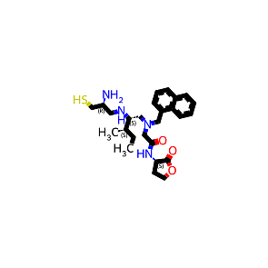 CC[C@H](C)[C@@H](CN(CC(=O)N[C@H]1CCOC1=O)Cc1cccc2ccccc12)NC[C@@H](N)CS